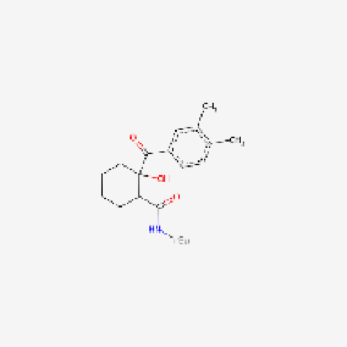 CCCCNC(=O)C1CCCCC1(O)C(=O)c1ccc(C)c(C)c1